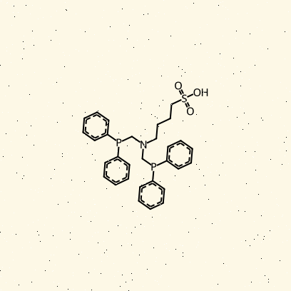 O=S(=O)(O)CCCCN(CP(c1ccccc1)c1ccccc1)CP(c1ccccc1)c1ccccc1